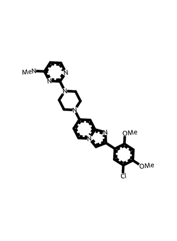 CNc1ccnc(N2CCN(c3ccn4cc(-c5cc(Cl)c(OC)cc5OC)nc4c3)CC2)n1